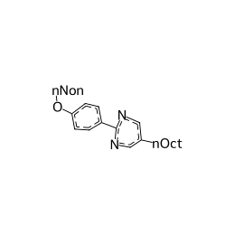 CCCCCCCCCOc1ccc(-c2ncc(CCCCCCCC)cn2)cc1